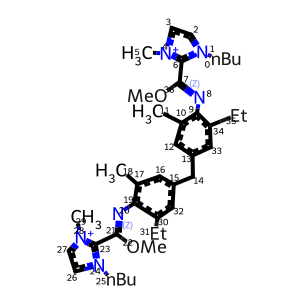 CCCCn1cc[n+](C)c1/C(=N/c1c(C)cc(Cc2cc(C)c(/N=C(\OC)c3n(CCCC)cc[n+]3C)c(CC)c2)cc1CC)OC